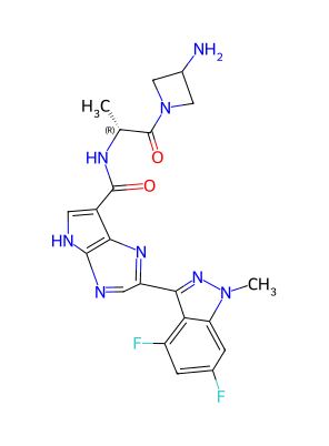 C[C@@H](NC(=O)c1c[nH]c2ncc(-c3nn(C)c4cc(F)cc(F)c34)nc12)C(=O)N1CC(N)C1